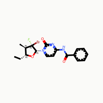 CC[C@H]1O[C@@H](n2ccc(NC(=O)c3ccccc3)nc2=O)[C@](F)(Br)[C@@H]1C